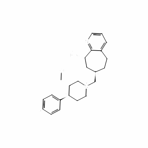 OC[C@@H]1CN(C[C@@H]2CCc3cccnc3[C@@H](O)C2)CC[C@H]1c1ccccc1